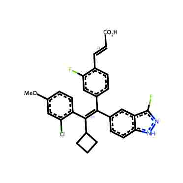 COc1ccc(/C(=C(\c2ccc(/C=C/C(=O)O)c(F)c2)c2ccc3[nH]nc(F)c3c2)C2CCC2)c(Cl)c1